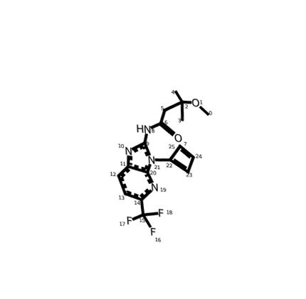 COC(C)(C)CC(=O)Nc1nc2ccc(C(F)(F)F)nc2n1C1=CC=C1